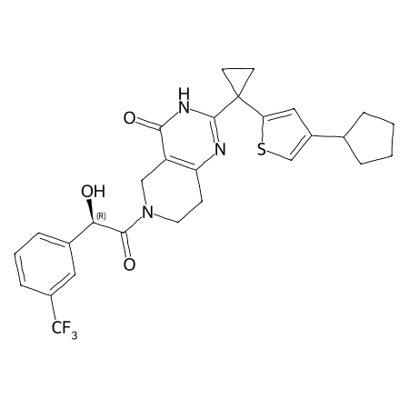 O=C([C@H](O)c1cccc(C(F)(F)F)c1)N1CCc2nc(C3(c4cc(C5CCCC5)cs4)CC3)[nH]c(=O)c2C1